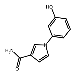 NC(=O)c1ccn(-c2cccc(O)c2)c1